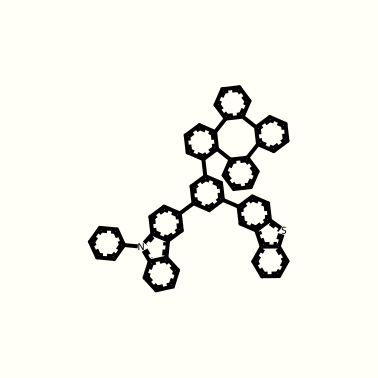 c1ccc(-n2c3ccccc3c3cc(-c4cc(-c5ccc6sc7ccccc7c6c5)cc(-c5cccc6c5-c5ccccc5-c5ccccc5-c5ccccc5-6)c4)ccc32)cc1